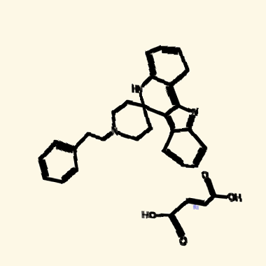 C1=CCC2=C3N=c4ccccc4=C3C3(CCN(CCc4ccccc4)CC3)NC2=C1.O=C(O)/C=C/C(=O)O